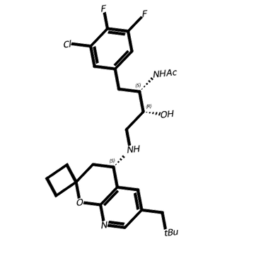 CC(=O)N[C@@H](Cc1cc(F)c(F)c(Cl)c1)[C@H](O)CN[C@H]1CC2(CCC2)Oc2ncc(CC(C)(C)C)cc21